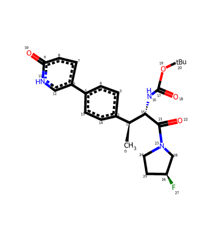 C[C@@H](c1ccc(-c2ccc(=O)[nH]c2)cc1)[C@H](NC(=O)OC(C)(C)C)C(=O)N1CC[C@H](F)C1